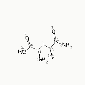 NC(=O)[C@@H]([18F])C[C@@H](N)C(=O)O